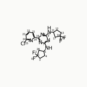 FC1(F)CCC(Nc2nc(NC3CCC(F)(F)C3)nc(-c3cccc(Cl)n3)n2)C1